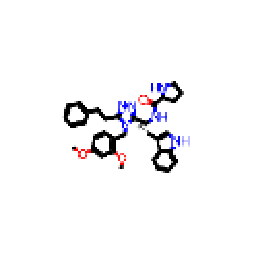 COc1ccc(Cn2c(CCc3ccccc3)nnc2[C@@H](Cc2c[nH]c3ccccc23)NC(=O)C2CCCN2)c(OC)c1